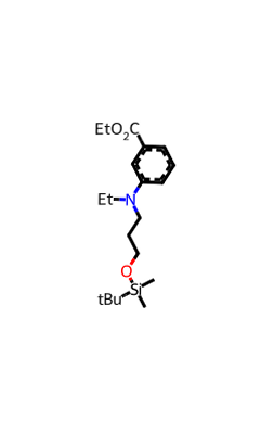 CCOC(=O)c1cccc(N(CC)CCCO[Si](C)(C)C(C)(C)C)c1